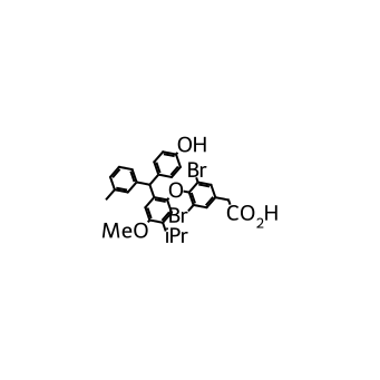 COc1cc(C(c2ccc(O)cc2)c2cccc(C)c2)c(Oc2c(Br)cc(CC(=O)O)cc2Br)cc1C(C)C